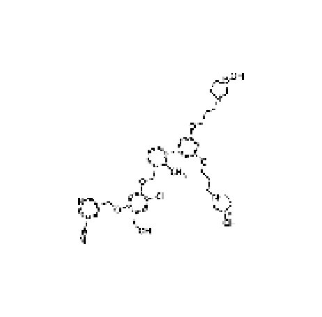 Cc1c(COc2cc(OCc3cncc(C#N)c3)c(CO)cc2Cl)cccc1-c1cc(OCCCN2CC[C@@H](O)C2)cc(OCCCN2CC[C@@H](O)C2)c1